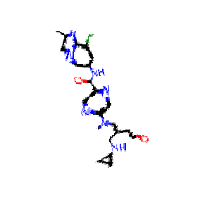 Cc1cn2cc(NC(=O)c3cnc(N(C)CC(CC=O)CNC4CC4)cn3)cc(F)c2n1